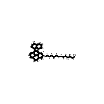 CCCCCCCCCCCCCC.c1cc2ccc3cccc4ccc(c1)c2c34.c1ccc2ccccc2c1